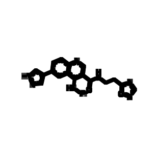 CC(C)Nc1c(C(=O)NCCc2ncno2)cnc2ccc(-c3cn[nH]c3)cc12